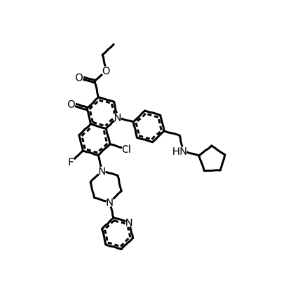 CCOC(=O)c1cn(-c2ccc(CNC3CCCC3)cc2)c2c(Cl)c(N3CCN(c4ccccn4)CC3)c(F)cc2c1=O